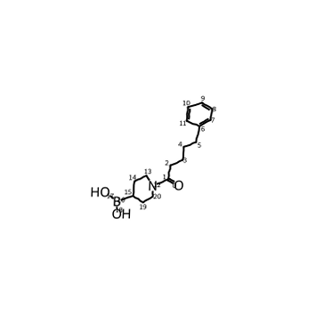 O=C(CCCCc1ccccc1)N1CCC(B(O)O)CC1